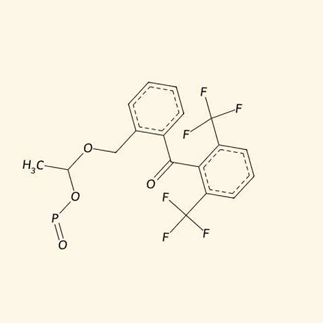 CC(OCc1ccccc1C(=O)c1c(C(F)(F)F)cccc1C(F)(F)F)OP=O